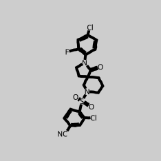 N#Cc1ccc(S(=O)(=O)N2CCCC3(CCN(c4ccc(Cl)cc4F)C3=O)C2)c(Cl)c1